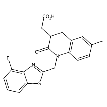 Cc1ccc2c(c1)CC(CC(=O)O)C(=O)N2Cc1nc2c(F)cccc2s1